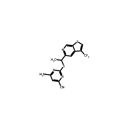 CC(Sc1nc(N)cc(C#N)n1)c1cc2c(C(F)(F)F)csc2cn1